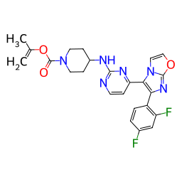 C=C(C)OC(=O)N1CCC(Nc2nccc(-c3c(-c4ccc(F)cc4F)nc4occn34)n2)CC1